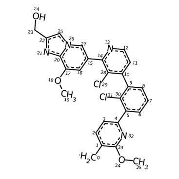 [CH2]c1ccc(-c2cccc(-c3ccnc(-c4cc(OC)c5nc(CO)cn5c4)c3Cl)c2Cl)nc1OC